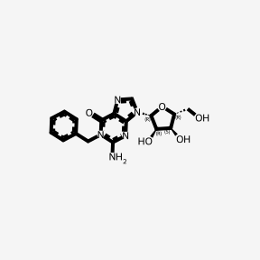 Nc1nc2c(ncn2[C@@H]2O[C@H](CO)[C@@H](O)[C@H]2O)c(=O)n1Cc1ccccc1